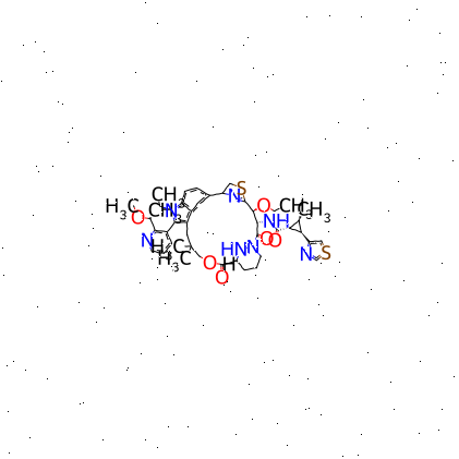 CCO[C@@H]1C2=NC(CS2)c2ccc3c(c2)c(c(-c2cccnc2[C@H](C)OC)n3CC)CC(C)(C)COC(=O)[C@@H]2CCCN(N2)C(=O)[C@H]1NC(=O)[C@@H]1[C@@H](C)[C@H]1c1cscn1